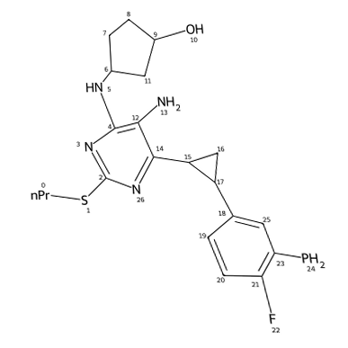 CCCSc1nc(NC2CCC(O)C2)c(N)c(C2CC2c2ccc(F)c(P)c2)n1